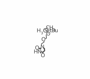 CC(C)(C)[Si](C)(C)OCCOCCn1ccc(=O)[nH]c1=O